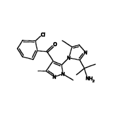 Cc1nn(C)c(-n2c(C)cnc2C(C)(C)N)c1C(=O)c1ccccc1Cl